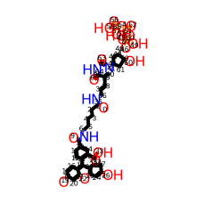 O=C(CCCCCNC(=O)c1ccc(-c2c3ccc(=O)cc-3oc3cc(O)ccc23)c(C(=O)O)c1)NC/C=C/c1cn([C@@H]2C[C@H](COP(=O)(O)OP(=O)(O)OP(=O)(O)O)[C@@H](O)C2)c(=O)[nH]c1=O